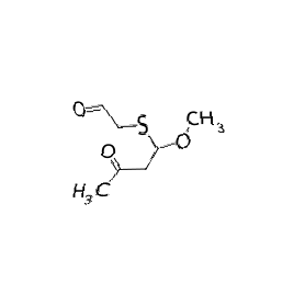 COC(CC(C)=O)SCC=O